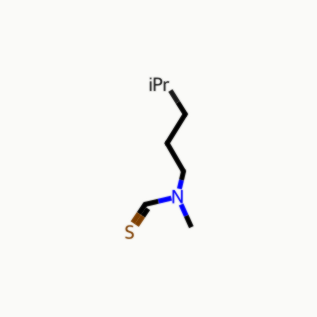 CC(C)CCCN(C)C=S